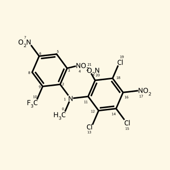 CN(c1c([N+](=O)[O-])cc([N+](=O)[O-])cc1C(F)(F)F)c1c(Cl)c(Cl)c([N+](=O)[O-])c(Cl)c1[N+](=O)[O-]